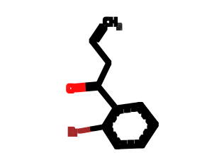 C=CCC(=O)c1ccccc1Br